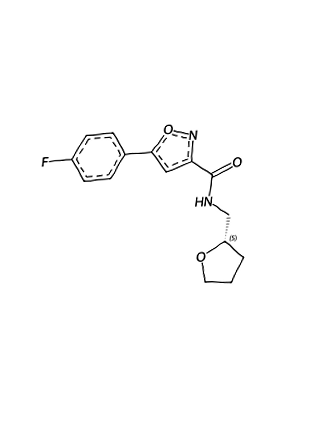 O=C(NC[C@@H]1CCCO1)c1cc(-c2ccc(F)cc2)on1